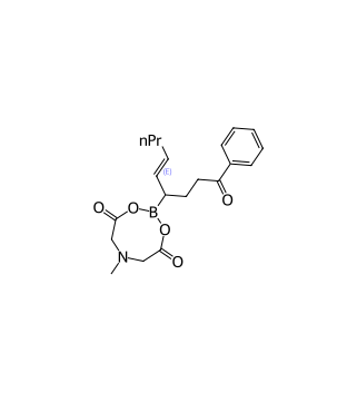 CCC/C=C/C(CCC(=O)c1ccccc1)B1OC(=O)CN(C)CC(=O)O1